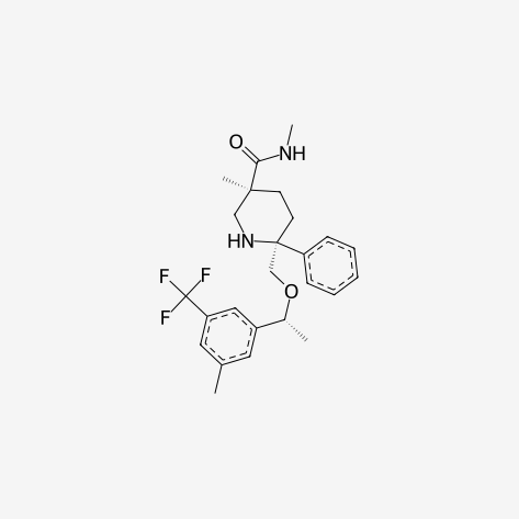 CNC(=O)[C@@]1(C)CC[C@@](CO[C@H](C)c2cc(C)cc(C(F)(F)F)c2)(c2ccccc2)NC1